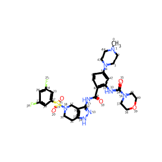 CN1CCN(c2ccc(C(=O)Nc3n[nH]c4c3CN(S(=O)(=O)c3cc(F)cc(F)c3)CC4)c(NC(=O)N3CCOCC3)c2)CC1